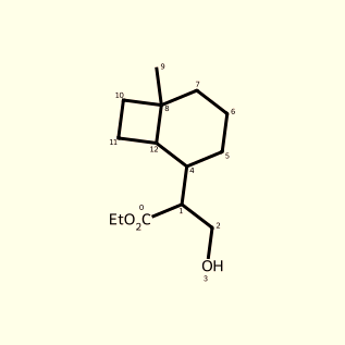 CCOC(=O)C(CO)C1CCCC2(C)CCC12